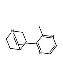 Cc1nccnc1C1=CN2CCC1CC2